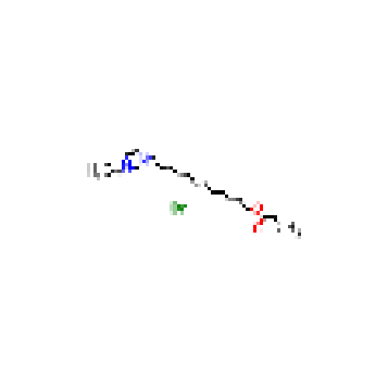 Br.C=CC(=O)OCCCCCCCCCCCCN1C=CN(CC)C1